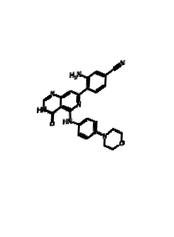 N#Cc1ccc(-c2cc3nc[nH]c(=O)c3c(Nc3ccc(N4CCOCC4)cc3)n2)c(N)c1